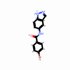 O=C(Nc1ccc2[nH]ncc2c1)c1ccc(Br)cc1